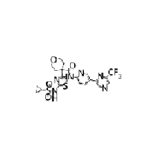 O=C(Nc1ccc(-c2cncc(C(F)(F)F)n2)cn1)C1(c2csc(NS(=O)(=O)C3CC3)n2)CCOCC1